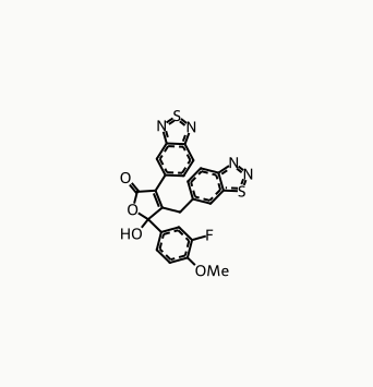 COc1ccc(C2(O)OC(=O)C(c3ccc4nsnc4c3)=C2Cc2ccc3nnsc3c2)cc1F